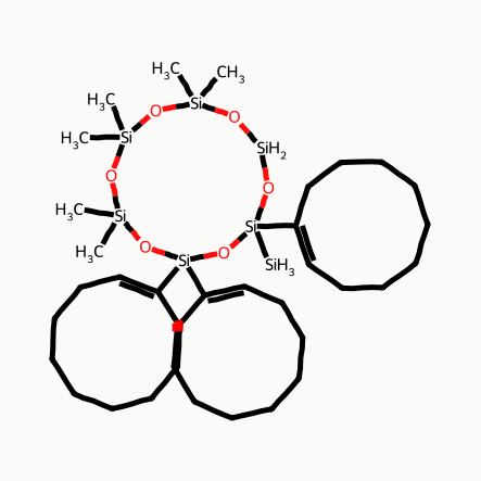 C[Si]1(C)O[SiH2]O[Si]([SiH3])(C2=CCCCCCCCC2)O[Si](C2=CCCCCCCCC2)(C2=CCCCCCCCC2)O[Si](C)(C)O[Si](C)(C)O1